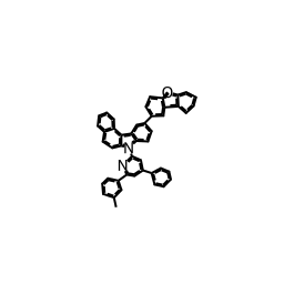 Cc1cccc(-c2cc(-c3ccccc3)cc(-n3c4ccc(-c5ccc6oc7ccccc7c6c5)cc4c4c5ccccc5ccc43)n2)c1